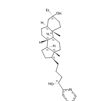 CC[C@]1(O)CC[C@@]2(C)[C@@H](CC[C@@H]3[C@@H]2CC[C@]2(C)[C@@H](CCC[C@@H](O)c4ccccn4)CC[C@@H]32)C1